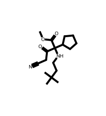 COC(=O)C(NCCC(C)(C)C)(C(=O)CC#N)C1CCCC1